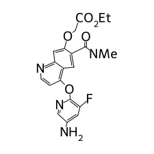 CCOC(=O)COc1cc2nccc(Oc3ncc(N)cc3F)c2cc1C(=O)NC